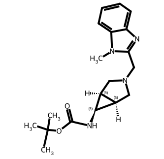 Cn1c(CN2C[C@@H]3[C@H](C2)[C@@H]3NC(=O)OC(C)(C)C)nc2ccccc21